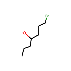 CCCC([O])CCCBr